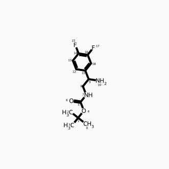 CC(C)(C)OC(=O)NCC(N)c1ccc(F)c(F)c1